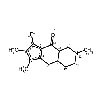 CCc1c2c(n(C)c1C)CC1CCN(C)CC1C2=O